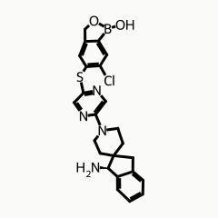 N[C@@H]1c2ccccc2CC12CCN(c1cnc(Sc3cc4c(cc3Cl)B(O)OC4)cn1)CC2